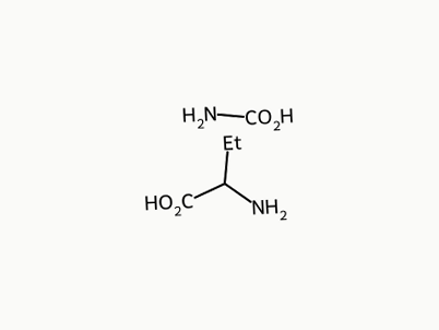 CCC(N)C(=O)O.NC(=O)O